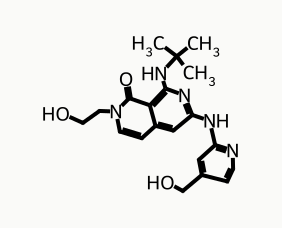 CC(C)(C)Nc1nc(Nc2cc(CO)ccn2)cc2ccn(CCO)c(=O)c12